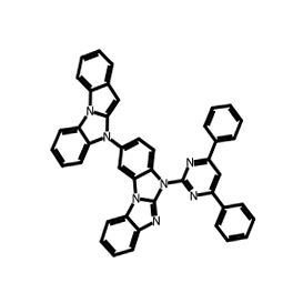 c1ccc(-c2cc(-c3ccccc3)nc(-n3c4ccc(-n5c6ccccc6n6c7ccccc7cc56)cc4n4c5ccccc5nc34)n2)cc1